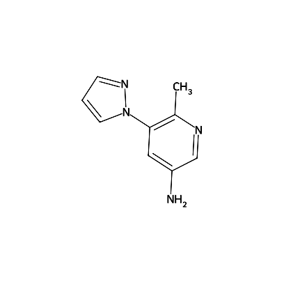 Cc1ncc(N)cc1-n1cccn1